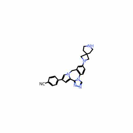 N#Cc1ccc(-c2cc3n(c2)Cc2cc(N4CC5(CCNCC5)C4)ccc2-n2cnnc2-3)cc1